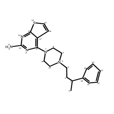 CC(CCN1CCN(c2nc(N)nc3sccc23)CC1)c1ccccc1